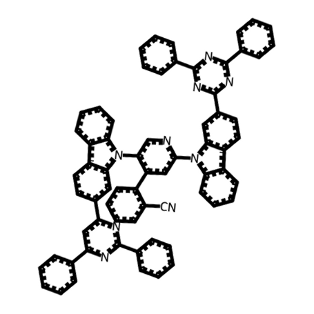 N#Cc1ccccc1-c1cc(-n2c3ccccc3c3ccc(-c4nc(-c5ccccc5)nc(-c5ccccc5)n4)cc32)ncc1-n1c2ccccc2c2ccc(-c3cc(-c4ccccc4)nc(-c4ccccc4)n3)cc21